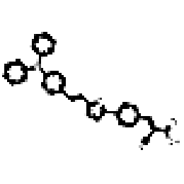 N#C/C(=C\c1ccc(-c2ccc(/C=C/c3ccc(N(c4ccccc4)c4ccccc4)cc3)o2)cc1)C(=O)O